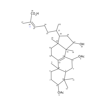 CC(=O)OC1CC2C(C)(CCC(OC(C)=O)C2(C)C)C2=C1C1(C)C(O)CC(C(C)CC/C=C(/C)C(=O)O)C1(C)CC2